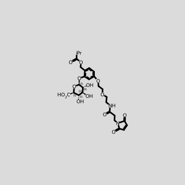 CC(C)C(=O)OCc1ccc(OCCOCCNC(=O)CCN2C(=O)C=CC2=O)cc1O[C@@H]1O[C@H](C(=O)O)[C@@H](O)[C@H](O)[C@H]1O